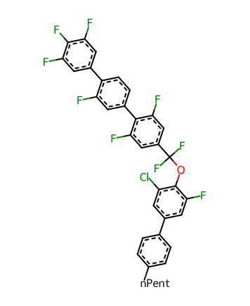 CCCCCc1ccc(-c2cc(F)c(OC(F)(F)c3cc(F)c(-c4ccc(-c5cc(F)c(F)c(F)c5)c(F)c4)c(F)c3)c(Cl)c2)cc1